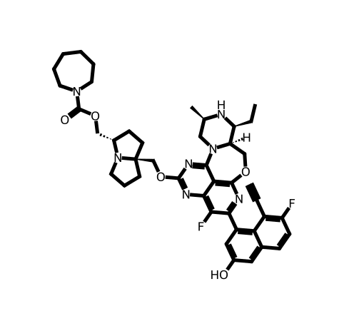 C#Cc1c(F)ccc2cc(O)cc(-c3nc4c5c(nc(OC[C@@]67CCCN6[C@H](COC(=O)N6CCCCCC6)CC7)nc5c3F)N3C[C@@H](C)N[C@@H](CC)[C@H]3CO4)c12